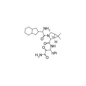 CCCC(NC(=O)C1[C@H]2C(CN1C(=O)C(N)C1CC3CCCCC3C1)C2(C)C)C(=O)C(N)=O